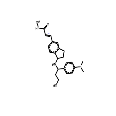 CN(C)c1ccc(C(CCO)NC2CCc3cc(/C=C/C(=O)NO)ccc32)cc1